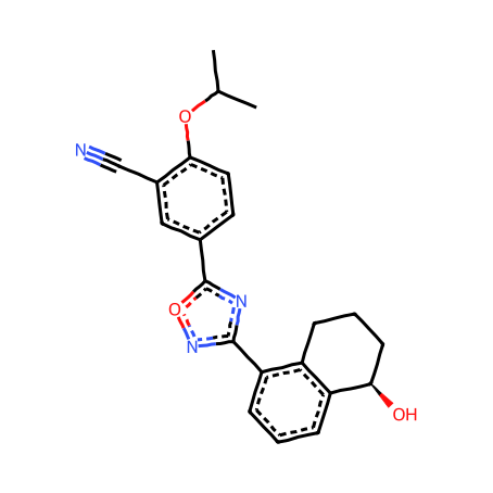 CC(C)Oc1ccc(-c2nc(-c3cccc4c3CCC[C@H]4O)no2)cc1C#N